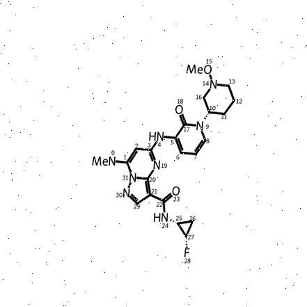 CNc1cc(Nc2cccn([C@H]3CCCN(OC)C3)c2=O)nc2c(C(=O)N[C@@H]3C[C@@H]3F)cnn12